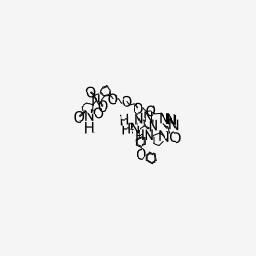 N=C(c1ccc(Oc2ccccc2)cc1)c1c(N)ncnc1NC1CCCN(C(=O)c2cn(CCOCCOCCOCCOc3cccc4c3C(=O)N(C3CCC(=O)NC3=O)C4=O)nn2)C1